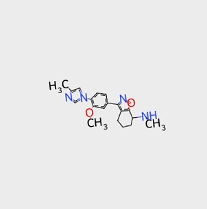 CNC1CCCc2c(-c3ccc(-n4cnc(C)c4)c(OC)c3)noc21